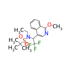 CCN(C(c1cnc(OC)c2ccccc12)C(F)(F)F)S(=O)(=O)C(C)(C)C